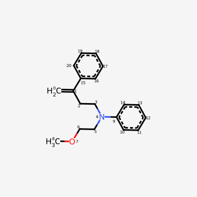 C=C(CCN(CCOC)c1ccccc1)c1ccccc1